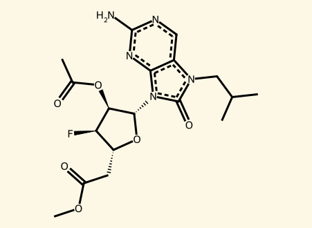 COC(=O)C[C@H]1O[C@@H](n2c(=O)n(CC(C)C)c3cnc(N)nc32)[C@H](OC(C)=O)[C@@H]1F